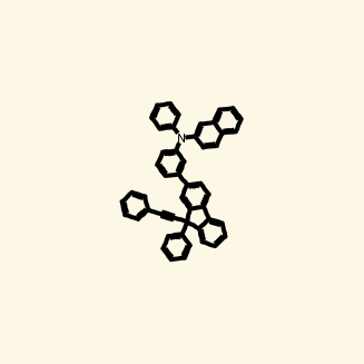 C(#CC1(c2ccccc2)c2ccccc2-c2ccc(-c3cccc(N(c4ccccc4)c4ccc5ccccc5c4)c3)cc21)c1ccccc1